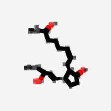 CCCCCC(O)/C=C/[C@H]1CCC(=O)[C@@H]1C/C=C\CCCC(=O)OC